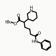 CC(C)(C)OC(=O)C(CCCC(=O)Nc1ccccc1)C1CCCNC1